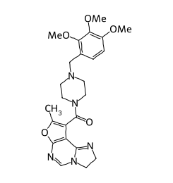 COc1ccc(CN2CCN(C(=O)c3c(C)oc4c3C3=NCCN3C=N4)CC2)c(OC)c1OC